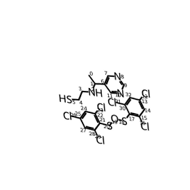 CC(NCCS)c1cncnc1.Clc1cc(Cl)c(SOSc2c(Cl)cc(Cl)cc2Cl)c(Cl)c1